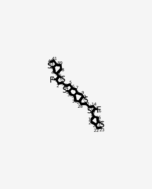 Fc1cc(-c2cc3cc4cc5sc(-c6cc(F)c(-c7ccc8ccsc8c7)s6)cc5cc4cc3s2)sc1-c1ccc2ccsc2c1